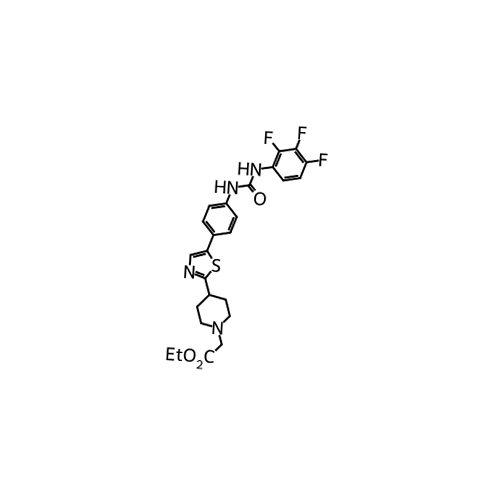 CCOC(=O)CN1CCC(c2ncc(-c3ccc(NC(=O)Nc4ccc(F)c(F)c4F)cc3)s2)CC1